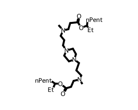 CCCCCC(CC)OC(=O)CCN(C)CCCN1CCN(CCCN(C)CCC(=O)OC(CC)CCCCC)CC1